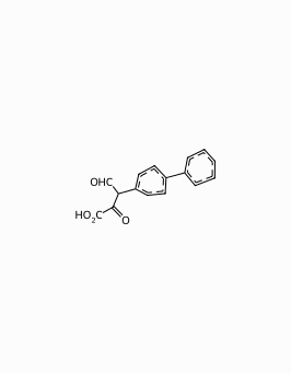 O=CC(C(=O)C(=O)O)c1ccc(-c2ccccc2)cc1